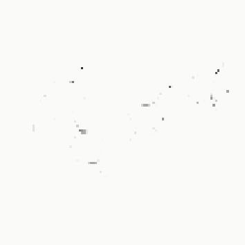 OC[C@H]1O[C@@H](c2ccc(Cl)c(Cc3ccc(S[C@H]4C[C@@H]5C[C@@H]5C4)cc3)c2)[C@H](O)[C@H](O)[C@@H]1O